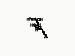 CCCCC[C@H](O)/C=C/[C@H]1[C@@H]2CC(CCCCCN(C)C)=C[C@@H]2C[C@H]1O